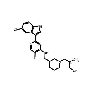 C[C@@H](CO)CN1CCCC(CNc2nc(-c3c[nH]c4ncc(Cl)cc34)ncc2F)C1